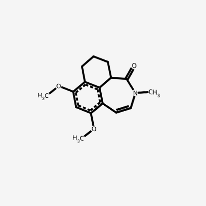 COc1cc(OC)c2c3c1C=CN(C)C(=O)C3CCC2